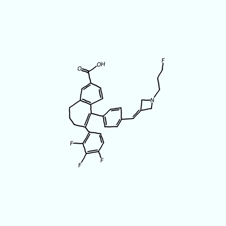 O=C(O)c1ccc2c(c1)CCCC(c1ccc(F)c(F)c1F)=C2c1ccc(C=C2CN(CCCF)C2)cc1